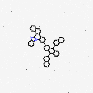 c1ccc2cc(-c3c4ccccc4c(-c4ccc5ccccc5c4)c4cc(-c5ccc6c7ccc8ccccc8c7c7nc8ccccc8n7c6c5)ccc34)ccc2c1